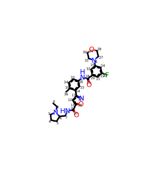 CCN1CCCC1CNC(=O)c1cc(-c2cc(NC(=O)c3cc(F)cc(N4CCOCC4)c3)ccc2C)no1